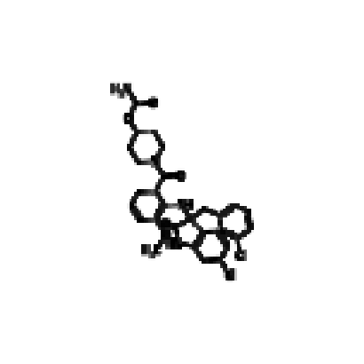 COc1cccc(C(=O)N2CCC(OC(N)=O)CC2)c1NC1(Cc2cccc(Cl)c2)C(=O)Nc2cc(Cl)ccc21